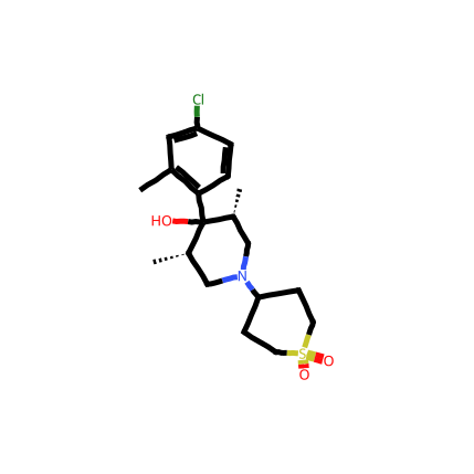 Cc1cc(Cl)ccc1C1(O)[C@H](C)CN(C2CCS(=O)(=O)CC2)C[C@@H]1C